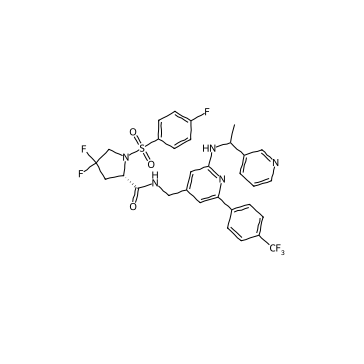 CC(Nc1cc(CNC(=O)[C@@H]2CC(F)(F)CN2S(=O)(=O)c2ccc(F)cc2)cc(-c2ccc(C(F)(F)F)cc2)n1)c1cccnc1